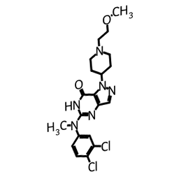 COCCN1CCC(n2ncc3nc(N(C)c4ccc(Cl)c(Cl)c4)[nH]c(=O)c32)CC1